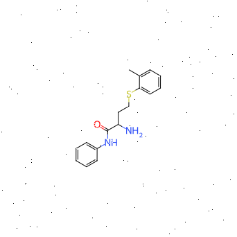 Cc1ccccc1SCCC(N)C(=O)Nc1ccccc1